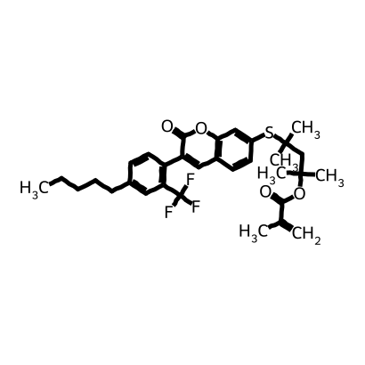 C=C(C)C(=O)OC(C)(C)CC(C)(C)Sc1ccc2cc(-c3ccc(CCCCC)cc3C(F)(F)F)c(=O)oc2c1